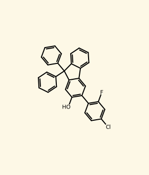 Oc1cc2c(cc1-c1ccc(Cl)cc1F)-c1ccccc1C2(c1ccccc1)c1ccccc1